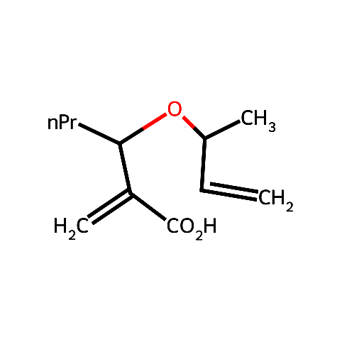 C=CC(C)OC(CCC)C(=C)C(=O)O